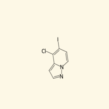 Clc1c(I)ccn2nccc12